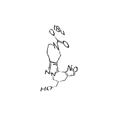 CC(C)(C)OC(=O)N1CCc2nn3c(c2C1)-c1nocc1CC(CO)C3